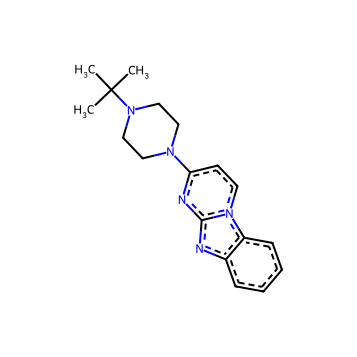 CC(C)(C)N1CCN(c2ccn3c(n2)nc2ccccc23)CC1